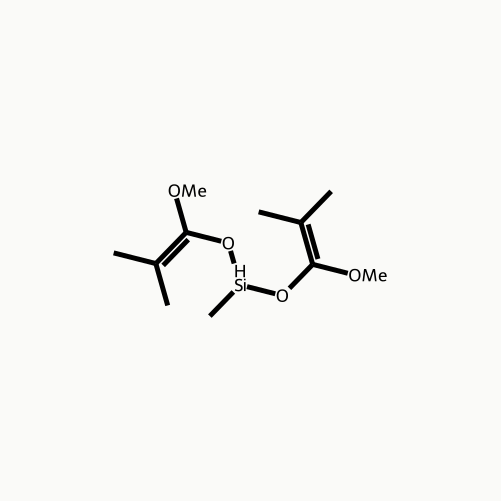 COC(O[SiH](C)OC(OC)=C(C)C)=C(C)C